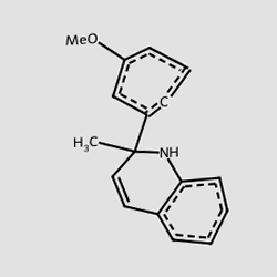 COc1cccc(C2(C)C=Cc3ccccc3N2)c1